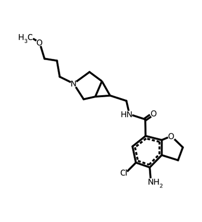 COCCCN1CC2C(CNC(=O)c3cc(Cl)c(N)c4c3OCC4)C2C1